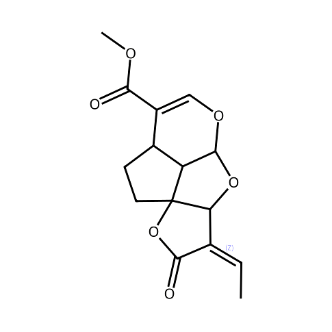 C/C=C1\C(=O)OC23CCC4C(C(=O)OC)=COC(OC12)C43